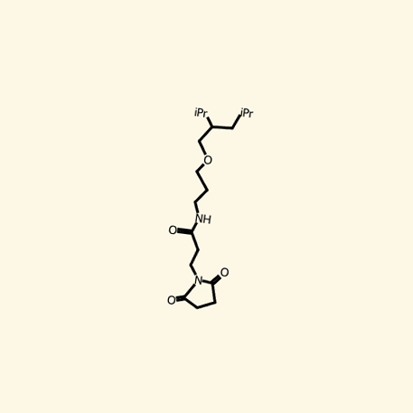 CC(C)CC(COCCCNC(=O)CCN1C(=O)CCC1=O)C(C)C